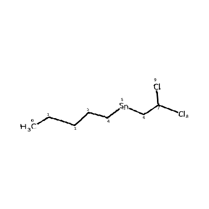 CCCC[CH2][Sn][CH2]C(Cl)Cl